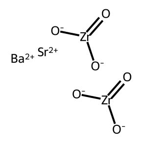 [Ba+2].[O]=[Zr]([O-])[O-].[O]=[Zr]([O-])[O-].[Sr+2]